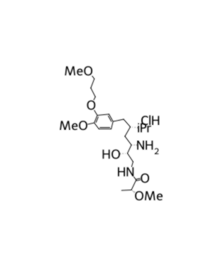 COCCCOc1cc(C[C@@H](C[C@H](N)[C@@H](O)CNC(=O)[C@@H](C)OC)C(C)C)ccc1OC.Cl